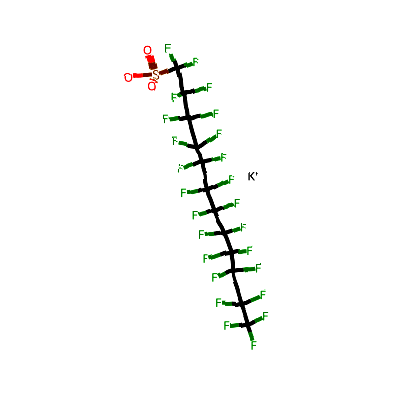 O=S(=O)([O-])C(F)(F)C(F)(F)C(F)(F)C(F)(F)C(F)(F)C(F)(F)C(F)(F)C(F)(F)C(F)(F)C(F)(F)C(F)(F)C(F)(F)F.[K+]